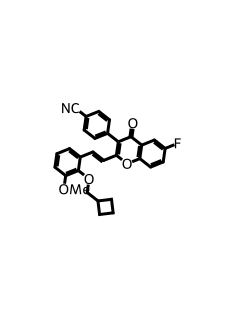 COc1cccc(C=Cc2oc3ccc(F)cc3c(=O)c2-c2ccc(C#N)cc2)c1OCC1CCC1